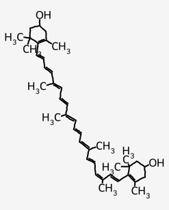 CC1=C(/C=C/C=C/C(C)=C/C=C/C(C)=C/C=C/C=C(C)/C=C/C=C(C)\C=C\C2=C(C)CC(O)CC2(C)C)C(C)(C)CC(O)C1